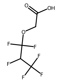 O=C(O)COC(F)(F)C(F)C(F)(F)F